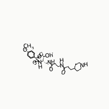 COc1ccc(S(=O)(=O)N[C@@H](CNC(=O)CCNC(=O)CCC2CCNCC2)C(=O)O)cc1